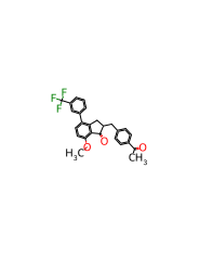 COc1ccc(-c2cccc(C(F)(F)F)c2)c2c1C(=O)C(Cc1ccc(C(C)=O)cc1)C2